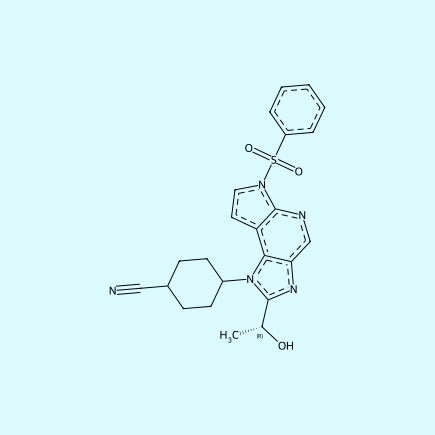 C[C@@H](O)c1nc2cnc3c(ccn3S(=O)(=O)c3ccccc3)c2n1C1CCC(C#N)CC1